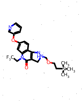 C[Si](C)(C)CCOCN1Cc2c(c3ccc(Oc4cccnc4)cc3n(CC(F)(F)F)c2=O)N1